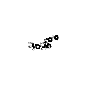 Cc1cc(Oc2ccccc2)ccc1N1C(=O)Nc2c(C(=O)NC3CCN(C(=O)C(C#N)=CC(C)(C)C)CC3)sc3nccc1c23